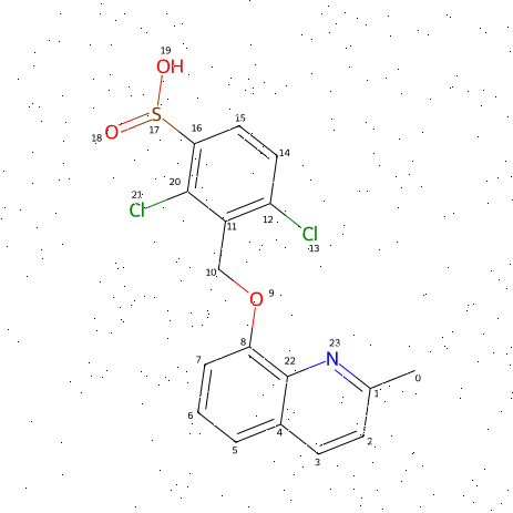 Cc1ccc2cccc(OCc3c(Cl)ccc(S(=O)O)c3Cl)c2n1